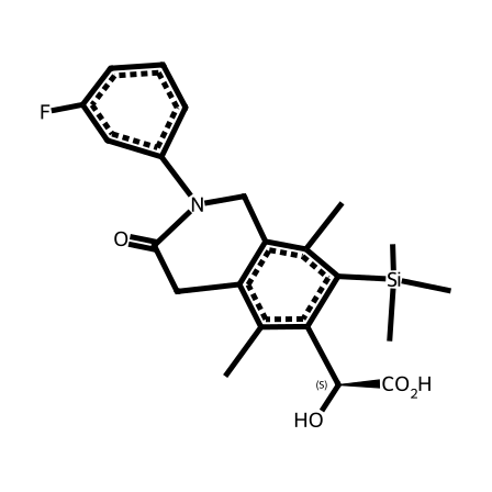 Cc1c2c(c(C)c([Si](C)(C)C)c1[C@H](O)C(=O)O)CN(c1cccc(F)c1)C(=O)C2